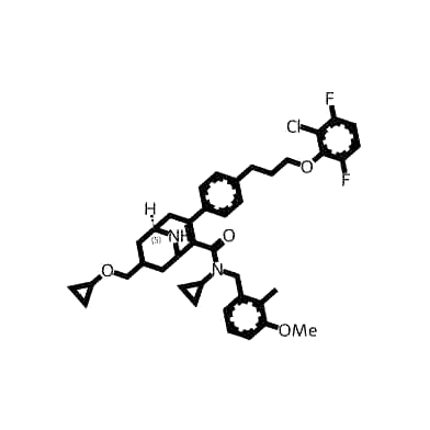 COc1cccc(CN(C(=O)C2=C(c3ccc(CCCOc4c(F)ccc(F)c4Cl)cc3)C[C@@H]3CC(COC4CC4)CC2N3)C2CC2)c1C